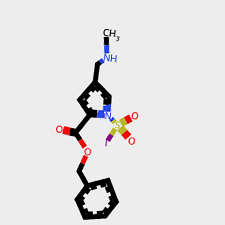 CNCc1cc(C(=O)OCc2ccccc2)n(S(=O)(=O)I)c1